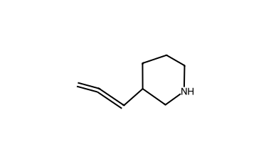 C=C=CC1CCCNC1